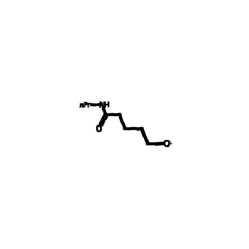 CCCNC(=O)CCCC[O]